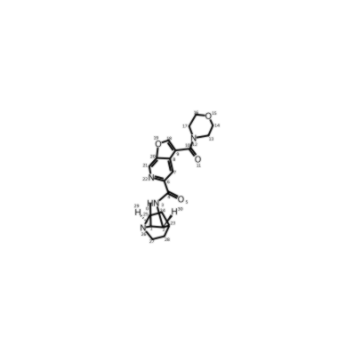 C[C@H]1[C@H](NC(=O)c2cc3c(C(=O)N4CCOCC4)coc3cn2)C2CCN1CC2